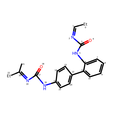 CC/C=N\C(=O)Nc1ccccc1-c1ccc(NC(=O)/N=C(\C)CC)cc1